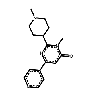 CN1CCC(c2nc(-c3ccncc3)cc(=O)n2C)CC1